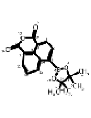 CC1(C)OB(c2ccc3c4c(cccc24)C(=O)OC3=O)OC1(C)C